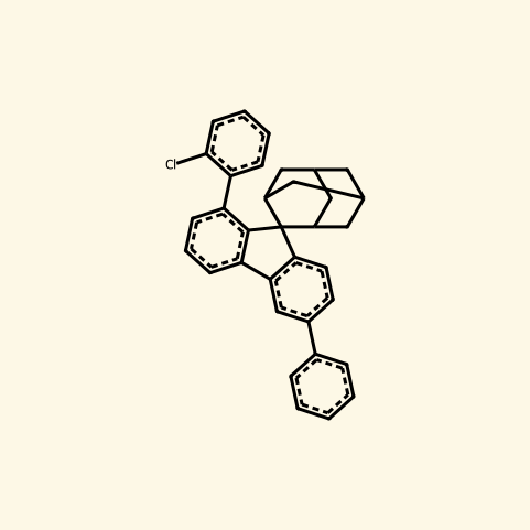 Clc1ccccc1-c1cccc2c1C1(c3ccc(-c4ccccc4)cc3-2)C2CC3CC(C2)CC1C3